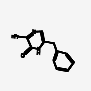 CCCc1ncc(Cc2ccccc2)[nH]c1=O